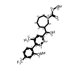 COc1cc(C(F)(F)F)ccc1-c1nnc(C(O)C2CCCCN(C(=O)OC(C)(C)C)C2)cc1C